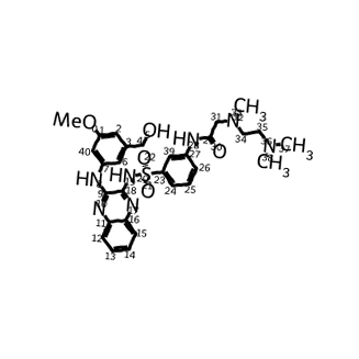 COc1cc(CO)cc(Nc2nc3ccccc3nc2NS(=O)(=O)c2cccc(NC(=O)CN(C)CCN(C)C)c2)c1